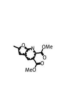 COC(=O)c1cc2cc(C)oc2nc1C(=O)OC